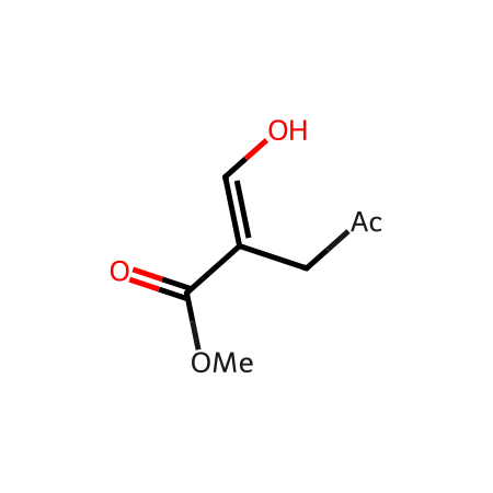 COC(=O)C(=CO)CC(C)=O